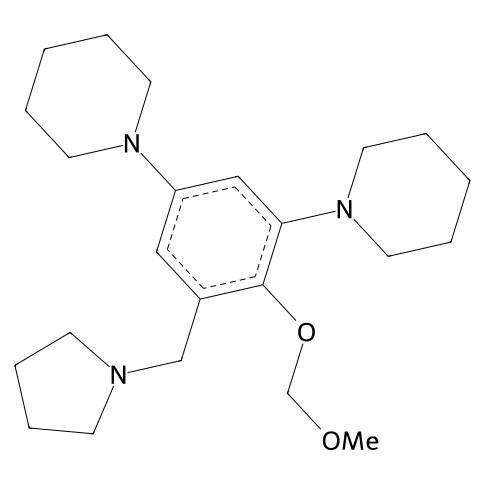 COCOc1c(CN2CCCC2)cc(N2CCCCC2)cc1N1CCCCC1